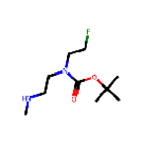 CNCCN(CCF)C(=O)OC(C)(C)C